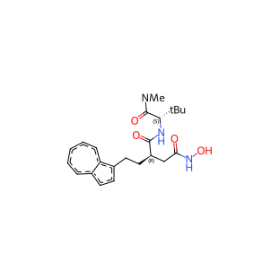 CNC(=O)[C@@H](NC(=O)[C@H](CCc1ccc2cccccc1-2)CC(=O)NO)C(C)(C)C